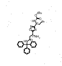 CC(C)C[C@H](NC(=O)OC(C)(C)C)c1noc([C@@H](N)CC(=O)NC(c2ccccc2)(c2ccccc2)c2ccccc2)n1